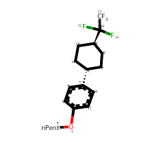 CCCCCOc1ccc([C@H]2CC[C@H](C(F)(F)C(F)(F)F)CC2)cc1